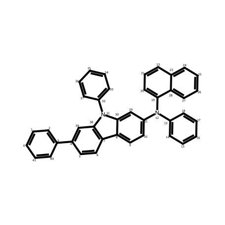 c1ccc(-c2ccc3c4ccc(N(c5ccccc5)c5cccc6ccccc56)cc4n(-c4ccccc4)c3c2)cc1